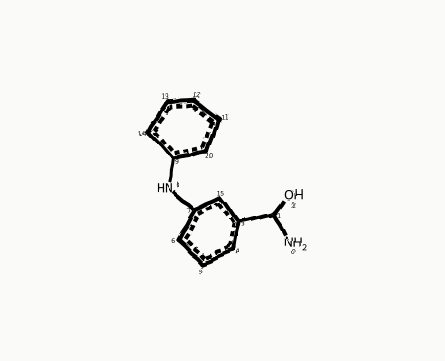 NC(O)c1cccc(Nc2ccccc2)c1